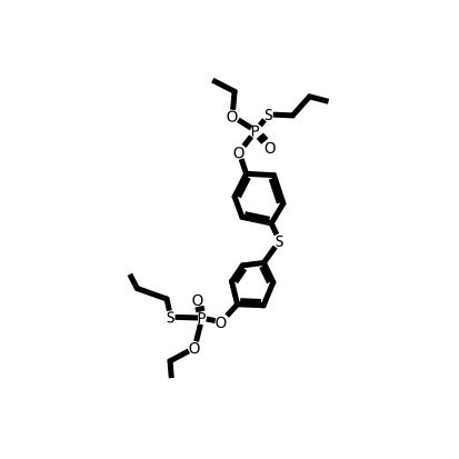 CCCSP(=O)(OCC)Oc1ccc(Sc2ccc(OP(=O)(OCC)SCCC)cc2)cc1